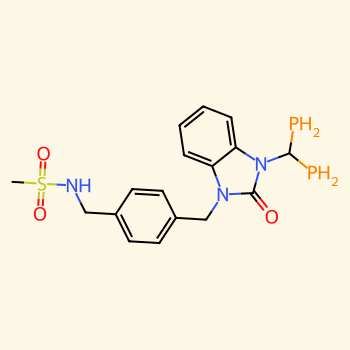 CS(=O)(=O)NCc1ccc(Cn2c(=O)n(C(P)P)c3ccccc32)cc1